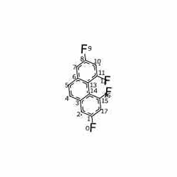 Fc1[c]c2ccc3cc(F)[c]c(F)c3c2c(F)c1